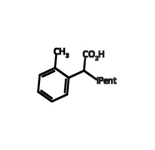 CCCC(C)C(C(=O)O)c1ccccc1C